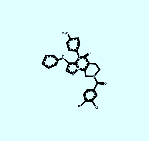 COc1ccc(-n2c(=O)c3c(n4ncc(Nc5ccccc5)c24)CN(C(=O)c2ccc(Br)c(Cl)c2)CC3)cc1